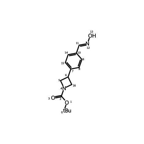 CC(C)(C)OC(=O)N1CC(c2ccc(C=NO)cc2)C1